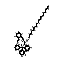 CCCCCCCCCCCCCCCCCCOC[C@H](COC(c1ccccc1)(c1ccccc1)c1ccccc1)OCc1ccccc1C#N